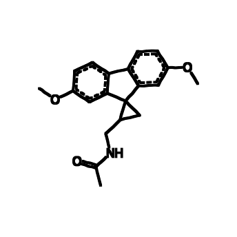 COc1ccc2c(c1)C1(CC1CNC(C)=O)c1cc(OC)ccc1-2